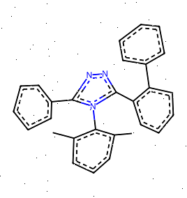 Cc1cccc(C)c1-n1c(-c2ccccc2)nnc1-c1ccccc1-c1ccccc1